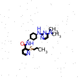 CCCSc1ncccc1C(=O)NC[C@H]1CC[C@@H](Nc2nccc(N(C)C)n2)CC1